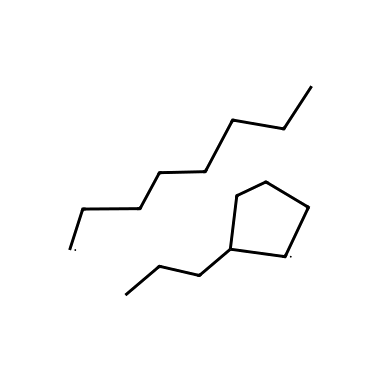 CCCC1[CH]CCC1.[CH2]CCCCCCC